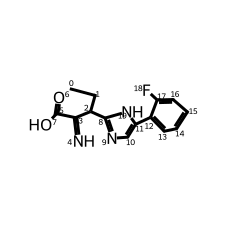 CCC(C(=N)C(=O)O)c1ncc(-c2ccccc2F)[nH]1